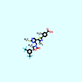 CSc1ncc(-c2sc(-c3ccc(C(=O)O)cc3C)nc2C)c(CN2C(=O)O[C@H](c3cc(C(F)(F)F)cc(C(F)(F)F)c3)[C@@H]2C)n1